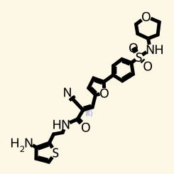 N#C/C(=C\c1ccc(-c2ccc(S(=O)(=O)NC3CCOCC3)cc2)o1)C(=O)NCCc1sccc1N